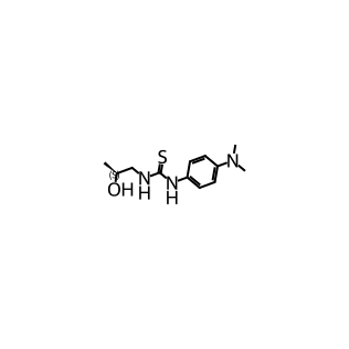 C[C@H](O)CNC(=S)Nc1ccc(N(C)C)cc1